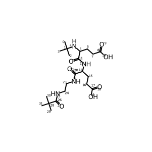 CC(C)(C)NC(CCC(=O)O)C(=O)NC(CCC(=O)O)C(=O)NCCNC(=O)C(C)(C)C